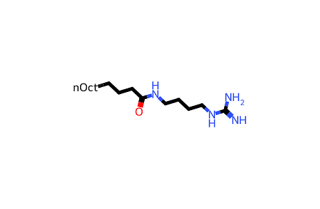 CCCCCCCCCCCC(=O)NCCCCNC(=N)N